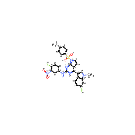 Cc1ccc(S(=O)(=O)n2ccc3c(-c4cn(C)c5cc(F)ccc45)nc(Nc4ccc(F)c([N+](=O)[O-])c4)nc32)cc1